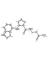 CC(=O)OCNC(=O)c1sccc1Nc1ccnc2[nH]ccc12